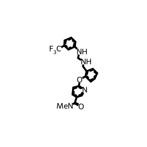 CNC(=O)c1ccc(Oc2ccccc2CNCNc2cccc(C(F)(F)F)c2)nc1